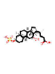 C[C@H](CCC(=O)O)[C@H]1CC[C@H]2[C@@H]3CC[C@@H]4C[C@H](OS(=O)(=O)O)CC[C@]4(C)[C@H]3C[C@H](O)[C@]12C